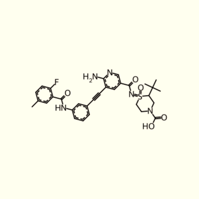 Cc1ccc(F)c(C(=O)Nc2cccc(C#Cc3cc(C(=O)N=S4(=O)CCN(C(=O)O)CC4C(C)(C)C)cnc3N)c2)c1